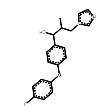 CC(Cn1ccnc1)C(O)c1ccc(Oc2ccc(F)cc2)cc1